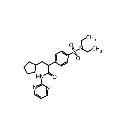 CCN(CC)S(=O)(=O)c1ccc(C(CC2CCCC2)C(=O)Nc2ncccn2)cc1